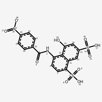 O=C(Nc1ccc(S(=O)(=O)O)c2cc(S(=O)(=O)O)cc(O)c12)c1ccc([N+](=O)[O-])cc1